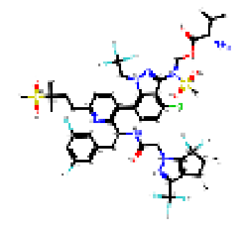 CC(C)[C@H](N)C(=O)OCN(c1nn(CC(F)(F)F)c2c(-c3ccc(CCC(C)(C)S(C)(=O)=O)nc3[C@H](Cc3cc(F)cc(F)c3)NC(=O)Cn3nc(C(F)(F)F)c4c3C(F)(F)[C@H](C)[C@@H]4C)ccc(Cl)c12)S(C)(=O)=O